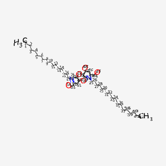 CCCCCCCCCCCCCCCCCCn1cc(Oc2cn(CCCCCCCCCCCCCCCCCC)c(C=O)cc2=O)c(=O)cc1C=O